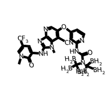 BC(B)(B)N(C(=O)Nc1cc(Oc2cnc3nc(Nc4cc(C(F)(F)F)cn(C)c4=O)n(C)c3c2C#N)ccn1)C(B)(B)B